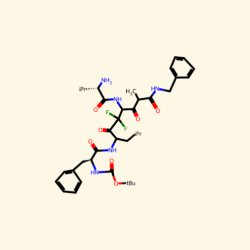 CC(C)CC(NC(=O)[C@H](Cc1ccccc1)NC(=O)OC(C)(C)C)C(=O)C(F)(F)C(NC(=O)[C@@H](N)C(C)C)C(=O)C(C)C(=O)NCc1ccccc1